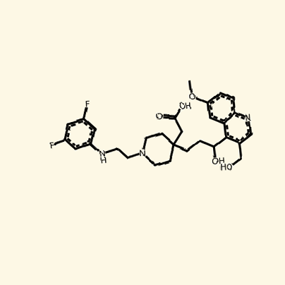 COc1ccc2ncc(CO)c(C(O)CCC3(CC(=O)O)CCN(CCNc4cc(F)cc(F)c4)CC3)c2c1